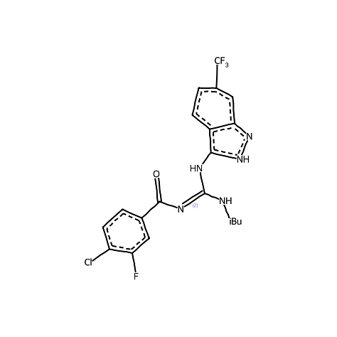 CCC(C)N/C(=N/C(=O)c1ccc(Cl)c(F)c1)Nc1[nH]nc2cc(C(F)(F)F)ccc12